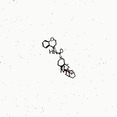 CCN1CC2CCC(C1)N2c1nc2c(s1)CN(C(=O)N[C@@H]1CCOc3ccccc31)CC2